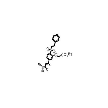 CCOC(=O)COc1cc(/C(C)=C/C(=O)N(CC)CC)ccc1S(=O)(=O)CCc1ccccc1